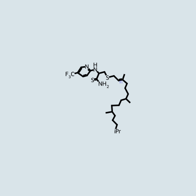 C/C(=C\CSCC(Nc1ccc(C(F)(F)F)cn1)C(N)=S)CCCC(C)CCCC(C)CCCC(C)C